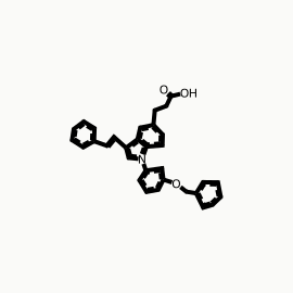 O=C(O)CCc1ccc2c(c1)c(C=Cc1ccccc1)cn2-c1cccc(OCc2ccccc2)c1